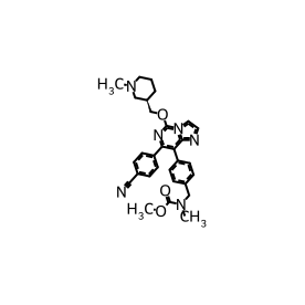 COC(=O)N(C)Cc1ccc(-c2c(-c3ccc(C#N)cc3)nc(OC[C@@H]3CCCN(C)C3)n3ccnc23)cc1